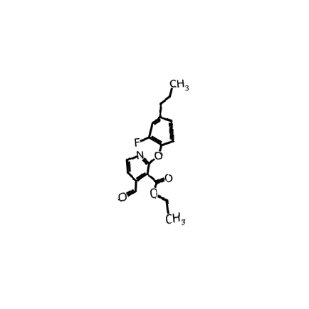 CCCc1ccc(Oc2nccc(C=O)c2C(=O)OCC)c(F)c1